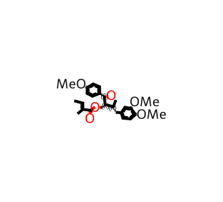 CC=C(C)C(=O)OC[C@H]1[C@@H](Cc2ccc(OC)c(OC)c2)CO[C@@H]1c1ccc(OC)cc1